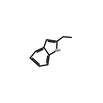 CCc1cc2ccccc2[nH]1